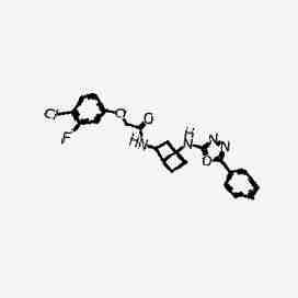 O=C(COc1ccc(Cl)c(F)c1)NC1CC2(Nc3nnc(-c4ccccc4)o3)CCC12